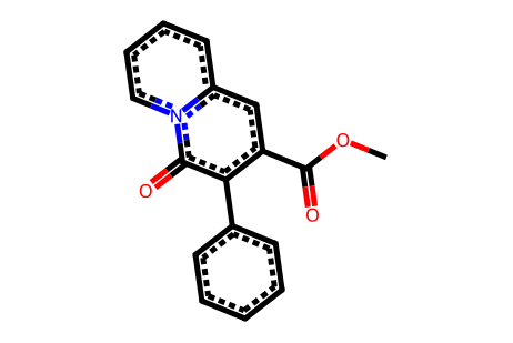 COC(=O)c1cc2ccccn2c(=O)c1-c1ccccc1